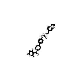 Cc1cc(Cl)c(C(=O)N2CCC(c3ccc(NC(=O)NCc4ccn5ccnc5c4)cc3)CC2)c(C)n1